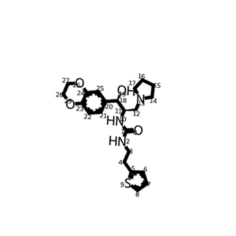 O=C(NCCc1cccs1)N[C@H](CN1CCCC1)[C@H](O)c1ccc2c(c1)OCCO2